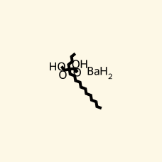 CCCCCCCCCCCCC(CCCC)(C(=O)O)C(=O)O.[BaH2]